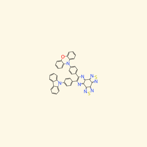 c1ccc2c(c1)Oc1ccccc1N2c1ccc(-c2nc3c4nsnc4c4nsnc4c3nc2-c2ccc(-n3c4ccccc4c4ccccc43)cc2)cc1